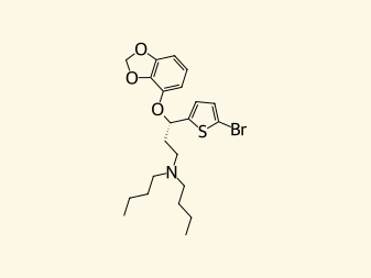 CCCCN(CCCC)CC[C@H](Oc1cccc2c1OCO2)c1ccc(Br)s1